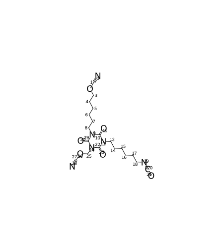 N#COCCCCCCn1c(=O)n(CCCCCCN=C=O)c(=O)n(COC#N)c1=O